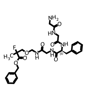 CC(F)(COCNC(=O)CNC(=O)[C@H](Cc1ccccc1)NC(=O)CNC(=O)CN)C(=O)OCc1ccccc1